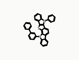 c1ccc(-c2cccc(-n3c4ccccc4c4ccc5c(sc6c7ccccc7n(-c7ccccc7)c56)c43)c2)cc1